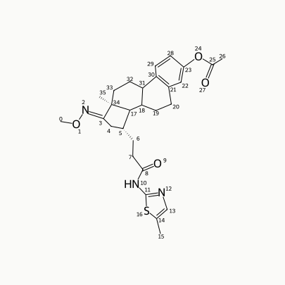 CO/N=C1\C[C@@H](CCC(=O)Nc2ncc(C)s2)C2C3CCc4cc(OC(C)=O)ccc4C3CC[C@]12C